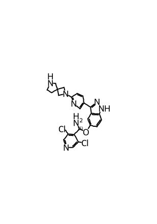 N[C@@H](Oc1ccc2[nH]nc(-c3ccc(N4CC5(CCNC5)C4)nc3)c2c1)c1c(Cl)cncc1Cl